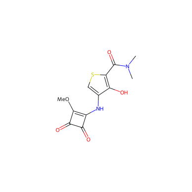 COc1c(Nc2csc(C(=O)N(C)C)c2O)c(=O)c1=O